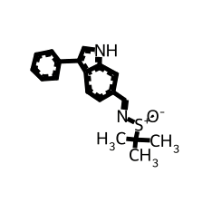 CC(C)(C)[S@@+]([O-])/N=C/c1ccc2c(-c3ccccc3)c[nH]c2c1